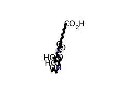 C/C(=C\C(=O)OCCCCCCCCC(=O)O)CC1OCC(C/C=C/C(C)C(C)O)C(O)C1O